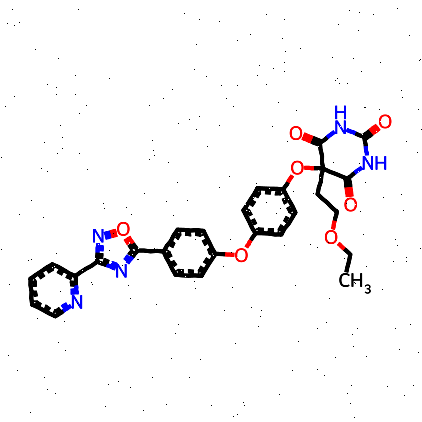 CCOCCC1(Oc2ccc(Oc3ccc(-c4nc(-c5ccccn5)no4)cc3)cc2)C(=O)NC(=O)NC1=O